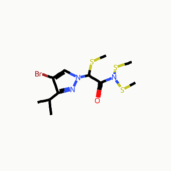 CSC(C(=O)N(SC)SC)n1cc(Br)c(C(C)C)n1